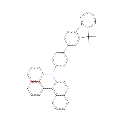 CC1(C)c2ccccc2-c2ccc(-c3ccc(N(c4ccccc4)c4ccc5ccccc5c4-c4ccccc4)cc3)cc21